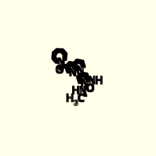 CCNC(=O)n1ccc(N2CCCc3cc(C(=O)N4CCCCCCC4)cnc32)cc1=N